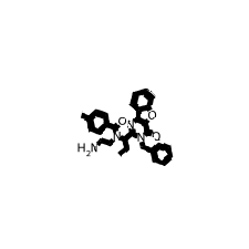 CCC(c1nc2c(c(=O)n1Cc1ccccc1)OC1C=CC=CC21)N(CCN)C(=O)c1ccc(C)cc1